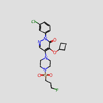 O=c1c(OC2CCC2)c(N2CCN(S(=O)(=O)CCCF)CC2)cnn1-c1cccc(Cl)c1